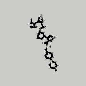 Cc1nc[nH]c1-c1c[nH]nc1C(=O)Oc1cccc(-c2c[nH]nc2C(=O)NCc2ccc(N3CCN(C)CC3)cc2)c1